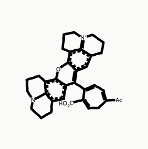 CC(=O)C1=CC=C(C2=c3cc4c5c(c3Oc3c2cc2c6c3CCCN6CCC2)CCC[N+]=5CCC4)C(C(=O)O)=CC1